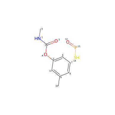 CNC(=O)Oc1cccc(C)c1.O=PS